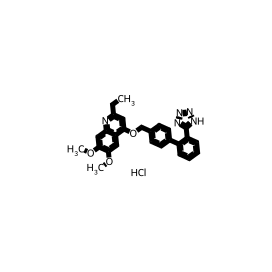 CCc1cc(OCc2ccc(-c3ccccc3-c3nnn[nH]3)cc2)c2cc(OC)c(OC)cc2n1.Cl